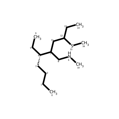 CCCC[C@H](CC)C(CNC)CC(CC)SC